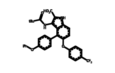 CC(C)Oc1ccc(-c2c(Oc3ccc(C(F)(F)F)cc3)ccc3[nH]c(C(=O)O)c(NC(=O)C(C)(C)C)c23)cc1